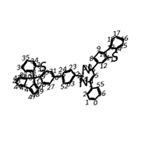 c1ccc(-c2cc(-c3ccc4c(c3)sc3ccccc34)nc(-c3ccc(-c4ccc5c(c4)Sc4ccccc4C54c5ccccc5-c5ccccc54)cc3)n2)cc1